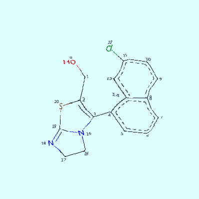 OCC1=C(c2cccc3ccc(Cl)cc23)N2CCN=C2S1